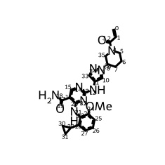 C=CC(=O)N1CCC[C@H](n2cc(Nc3ncc(C(N)=O)c(Nc4c(OC)cccc4C4CC4)n3)cn2)C1